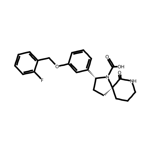 O=C(O)N1[C@@H](c2cccc(OCc3ccccc3F)c2)CC[C@]12CCCNC2=O